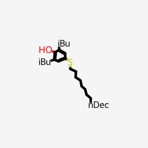 CCCCCCCCCCCCCCCCCCSc1cc(C(C)CC)c(O)c(C(C)CC)c1